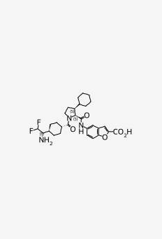 N[C@H](C(F)F)[C@H]1CC[C@H](C(=O)N2CC[C@@H](C3CCCCC3)[C@H]2C(=O)Nc2ccc3oc(C(=O)O)cc3c2)CC1